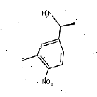 C[C@H](N)c1ccc([N+](=O)[O-])c(F)c1